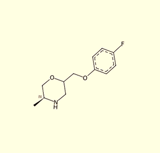 C[C@H]1COC(COc2ccc(F)cc2)CN1